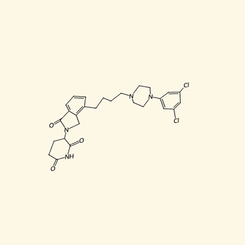 O=C1CCC(N2Cc3c(CCCCN4CCN(c5cc(Cl)cc(Cl)c5)CC4)cccc3C2=O)C(=O)N1